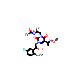 COc1ccc(F)cc1C(O)Cn1cc(/C(C)=N/OC(C)C)c(=O)n(CC(NC(=O)C(C)C)C(C)C)c1=O